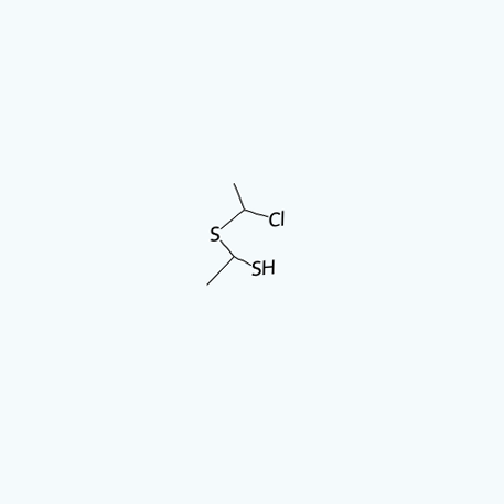 CC(S)SC(C)Cl